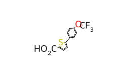 O=C(O)c1ccc(-c2ccc(OC(F)(F)F)cc2)s1